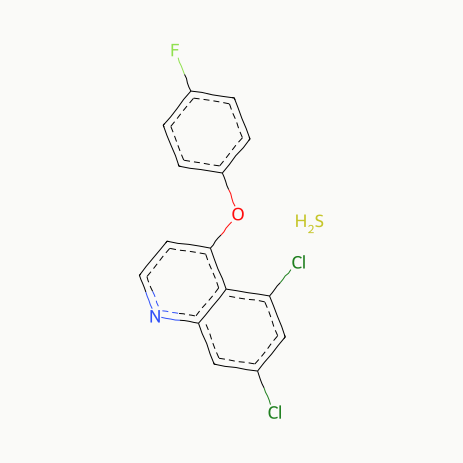 Fc1ccc(Oc2ccnc3cc(Cl)cc(Cl)c23)cc1.S